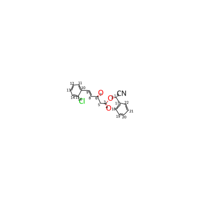 N#CC(OC(=O)CC(=O)C=Cc1ccccc1Cl)c1ccccc1